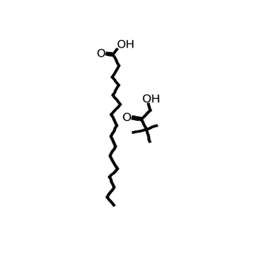 CC(C)(C)C(=O)CO.CCCCCCCCCCCCCCCC(=O)O